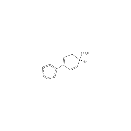 O=C(O)C1(Br)C=CC(c2ccccc2)=CC1